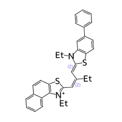 CCC(=C/c1sc2ccc3ccccc3c2[n+]1CC)/C=C1\Sc2ccc(-c3ccccc3)cc2N1CC